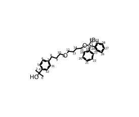 CC(C)(O)c1ccc(CCCOCCCCO[Si](c2ccccc2)(c2ccccc2)C(C)(C)C)cc1